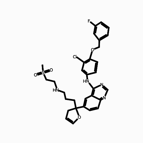 CS(=O)(=O)CCNCCCC1(c2ccc3ncnc(Nc4ccc(OCc5cccc(F)c5)c(Cl)c4)c3c2)CC=CO1